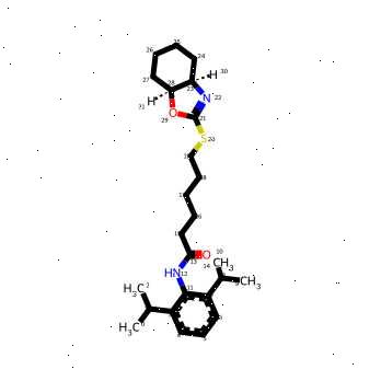 CC(C)c1cccc(C(C)C)c1NC(=O)CCCCCSC1=N[C@@H]2CCCC[C@@H]2O1